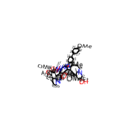 CC[C@]1(O)C[C@H]2CN(CCc3c([nH]c4ccc(-c5ccc(OC)cc5)cc34)[C@@](C(=O)OC)(c3cc4c(cc3OC)N(C)[C@H]3[C@@](O)(C(=O)OC)[C@H](OC(C)=O)[C@]5(CC)C=CCN6CC[C@]43[C@@H]65)C2)C1